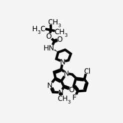 Cn1cnc2cc(N3CCC[C@@H](NC(=O)OC(C)(C)C)C3)n(Cc3cc(F)ccc3Cl)c2c1=O